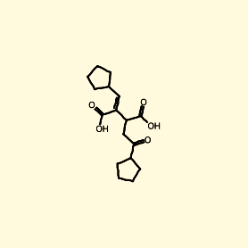 O=C(O)C(=CC1CCCC1)C(CC(=O)C1CCCC1)C(=O)O